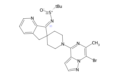 Cc1nc(N2CCC3(CC2)Cc2cccnc2/C3=N\[S@+]([O-])C(C)(C)C)c2ccnn2c1Br